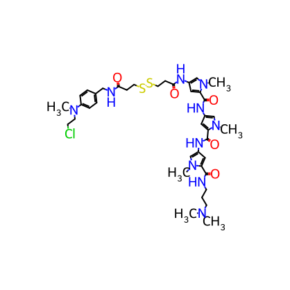 CN(C)CCCNC(=O)c1cc(NC(=O)c2cc(NC(=O)c3cc(NC(=O)CCSSCCC(=O)NCc4ccc(N(C)CCCl)cc4)cn3C)cn2C)cn1C